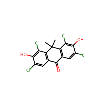 CC1(C)c2c(cc(Cl)c(O)c2Cl)C(=O)c2cc(Cl)c(O)c(Cl)c21